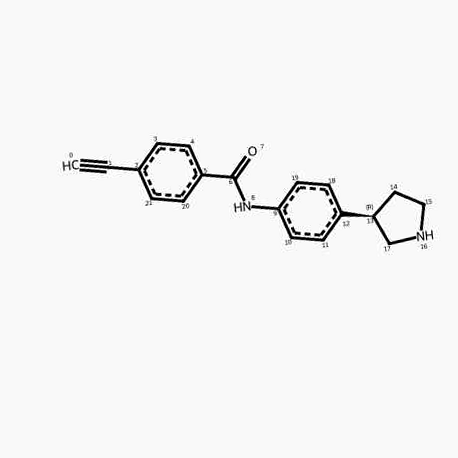 C#Cc1ccc(C(=O)Nc2ccc([C@H]3CCNC3)cc2)cc1